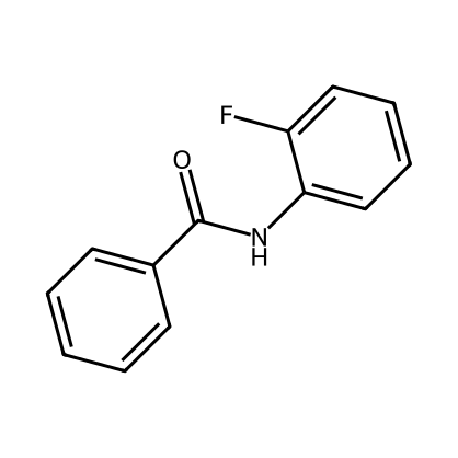 O=C(Nc1ccccc1F)c1ccccc1